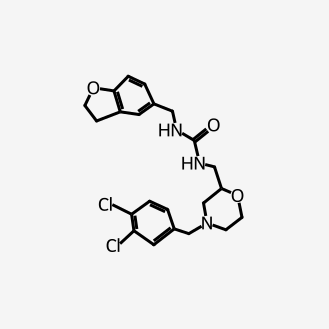 O=C(NCc1ccc2c(c1)CCO2)NCC1CN(Cc2ccc(Cl)c(Cl)c2)CCO1